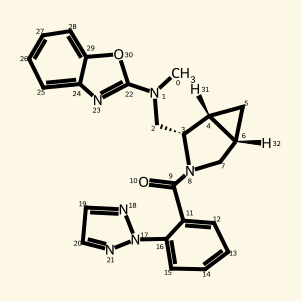 CN(C[C@@H]1[C@@H]2C[C@@H]2CN1C(=O)c1ccccc1-n1nccn1)c1nc2ccccc2o1